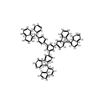 c1ccc(N(c2ccc(-c3cc(-c4ccc5c(c4)c4ccccc4n5-c4cccc5ccccc45)cc(-c4ccc5c(c4)c4ccccc4n5-c4cccc5ccccc45)c3)cc2)c2cccc3ccccc23)cc1